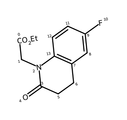 CCOC(=O)CN1C(=O)CCc2cc(F)ccc21